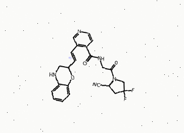 N#CC1CC(F)(F)CN1C(=O)CNC(=O)c1ccncc1/C=C/C1CNc2ccccc2O1